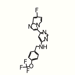 Fc1ccn2c(-c3cc(NCc4ccc(OC(F)(F)F)cc4)ncn3)cnc2c1